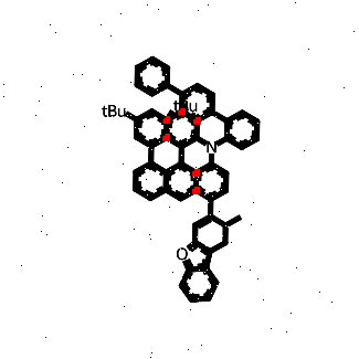 CC1Cc2c(oc3ccccc23)C=C1c1ccc(N(c2ccccc2-c2ccc(-c3ccccc3)cc2)c2ccccc2-c2cccc3cccc(-c4cc(C(C)(C)C)cc(C(C)(C)C)c4)c23)cc1